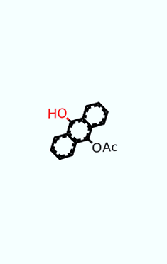 CC(=O)Oc1c2ccccc2c(O)c2ccccc12